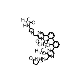 COc1nc(-c2cccc(-c3cccc(-c4cnc(CN5CC(NC(C)=O)C5)c(OC)n4)c3Cl)c2Cl)cnc1CNC[C@@H]1CCC(=O)N1